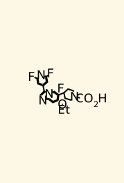 CCOc1cc2ncc(-c3cc(F)nc(F)c3)n2cc1C1(F)CCN(C(=O)O)CC1